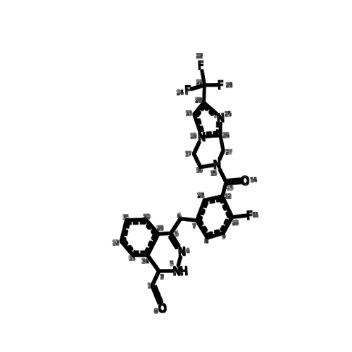 O=CC1NN=C(Cc2ccc(F)c(C(=O)N3CCn4cc(C(F)(F)F)nc4C3)c2)c2ccccc21